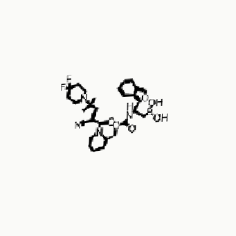 CC(C)(C=C(C#N)C(=O)N1CCCC[C@@H]1COC(=O)NC(CB(O)O)c1occ2ccccc12)N1CCC(F)(F)CC1